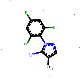 Cc1cnn(-c2c(Br)cc(F)cc2Br)c1N